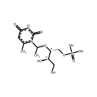 Cc1cc(=O)[nH]c(=O)n1C(C)O[C@H](COP(=O)(O)O)[C@H](O)CO